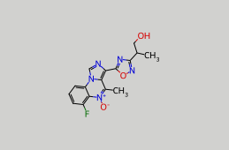 Cc1c2c(-c3nc(C(C)CO)no3)ncn2c2cccc(F)c2[n+]1[O-]